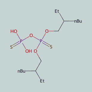 CCCCC(CC)COP(=S)(OCC(CC)CCCC)OP(O)(O)=S